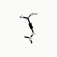 CCCCC[C@@H](C#CO[SiH](C)C)C(C)(C)C